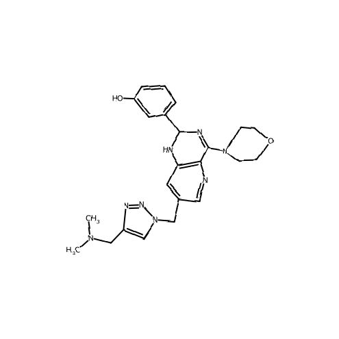 CN(C)Cc1cn(Cc2cnc3c(c2)NC(c2cccc(O)c2)N=C3N2CCOCC2)nn1